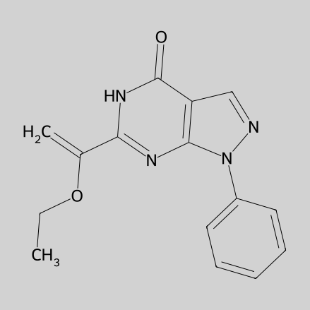 C=C(OCC)c1nc2c(cnn2-c2ccccc2)c(=O)[nH]1